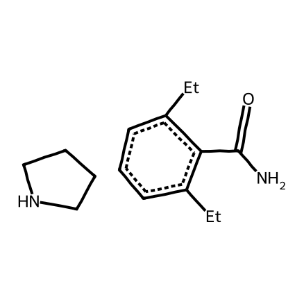 C1CCNC1.CCc1cccc(CC)c1C(N)=O